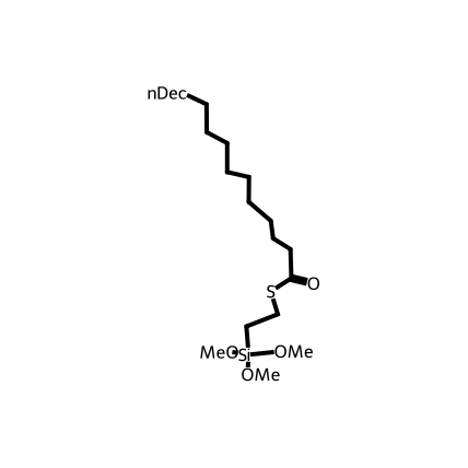 CCCCCCCCCCCCCCCCCCCC(=O)SCC[Si](OC)(OC)OC